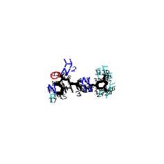 C\N=C(/N=C\C(C)=C/C=C(/C(N)=O)c1ccc(F)nc1)c1cc(C(F)(F)F)cc(C(F)(F)F)c1